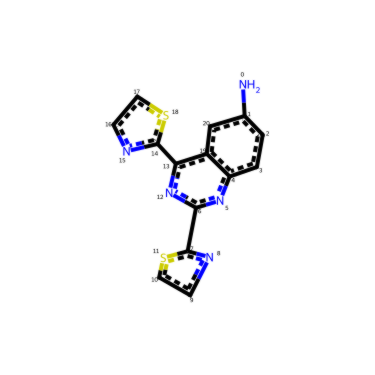 Nc1ccc2nc(-c3nccs3)nc(-c3nccs3)c2c1